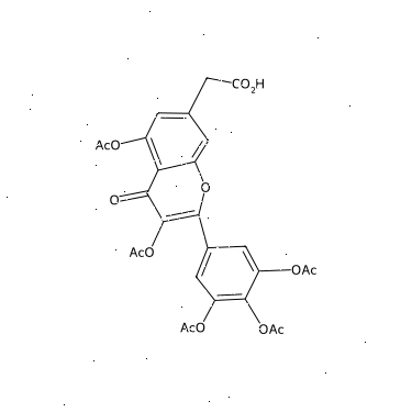 CC(=O)Oc1cc(-c2oc3cc(CC(=O)O)cc(OC(C)=O)c3c(=O)c2OC(C)=O)cc(OC(C)=O)c1OC(C)=O